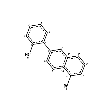 N#Cc1ccccc1-c1ccc2c(Br)cccc2c1